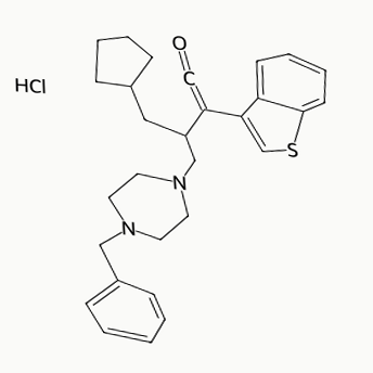 Cl.O=C=C(c1csc2ccccc12)C(CC1CCCC1)CN1CCN(Cc2ccccc2)CC1